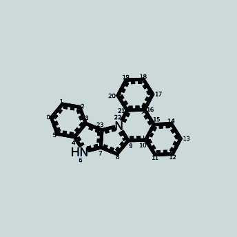 c1ccc2c(c1)[nH]c1cc3c4ccccc4c4ccccc4n3c12